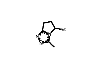 CCC1CCc2nnc(C)n21